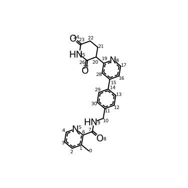 Cc1cccnc1C(=O)NCc1ccc(-c2ccnc(C3CCC(=O)NC3=O)c2)cc1